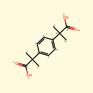 CC(C)(C(=O)O)c1ccc(C(C)(C)C(=O)O)cc1